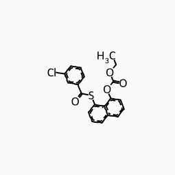 CCOC(=O)Oc1cccc2cccc(SC(=O)c3cccc(Cl)c3)c12